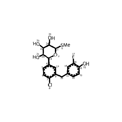 CSC1OC(c2ccc(Cl)c(Cc3ccc(O)c(F)c3)c2)C(O)C(O)C1O